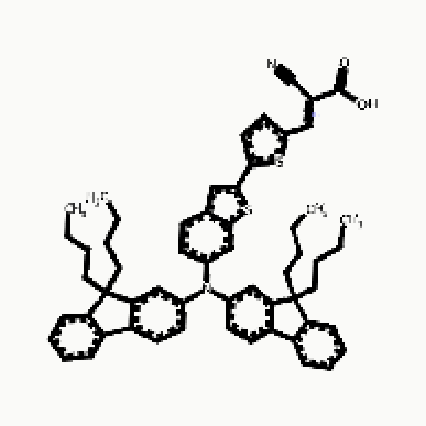 CCCCC1(CCCC)c2ccccc2-c2ccc(N(c3ccc4c(c3)C(CCCC)(CCCC)c3ccccc3-4)c3ccc4cc(-c5ccc(/C=C(\C#N)C(=O)O)s5)sc4c3)cc21